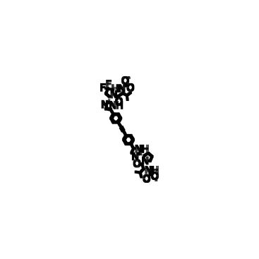 COC(=O)N[C@H](C(=O)N1CCC[C@H]1C1=NCC(c2ccc(C#Cc3ccc(-c4cnc([C@@H]5CC(F)(F)CN5C(=O)[C@@H](NC(=O)OC)C(C)C)[nH]4)cc3)cc2)N1)C(C)C